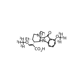 [2H]C([2H])([2H])O/C=C(/C(=O)O)[C@H]1C[C@@H]2N(CC[C@]23Nc2cccc(OC([2H])([2H])[2H])c2C3=O)C[C@H]1CC